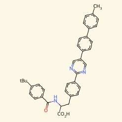 Cc1ccc(-c2ccc(-c3cnc(-c4ccc(CC(NC(=O)c5ccc(C(C)(C)C)cc5)C(=O)O)cc4)nc3)cc2)cc1